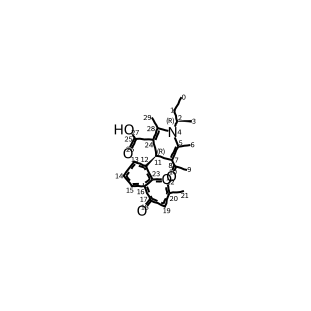 CC[C@@H](C)N1C(C)=C(C(C)=O)[C@@H](c2cccc3c(=O)cc(C)oc23)C(C(=O)O)=C1C